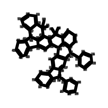 CC1(C)c2cccc3c2B(c2cc4c5ccccc5n(-c5ccccc5)c4cc2N3c2ccccc2)c2cc3c4ccccc4n4c3c(c21)C(C)(C)c1ccccc1-4